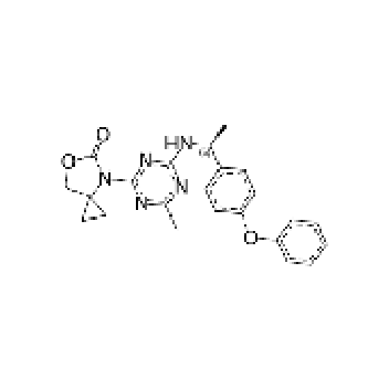 Cc1nc(N[C@@H](C)c2ccc(Oc3ccccc3)cc2)nc(N2C(=O)OCC23CC3)n1